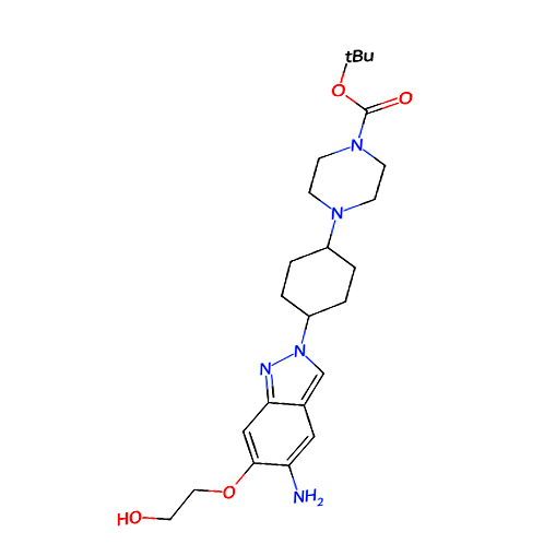 CC(C)(C)OC(=O)N1CCN(C2CCC(n3cc4cc(N)c(OCCO)cc4n3)CC2)CC1